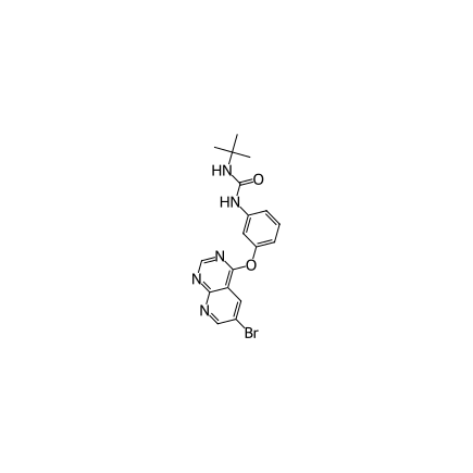 CC(C)(C)NC(=O)Nc1cccc(Oc2ncnc3ncc(Br)cc23)c1